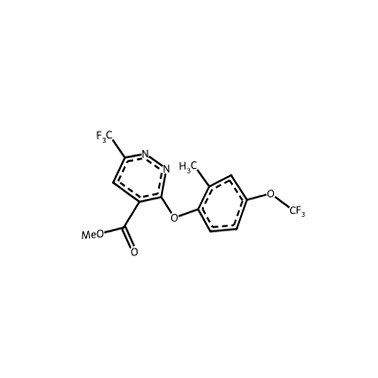 COC(=O)c1cc(C(F)(F)F)nnc1Oc1ccc(OC(F)(F)F)cc1C